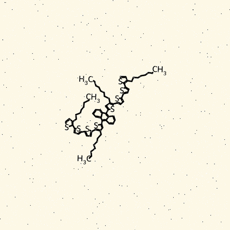 CCCCCCCCc1ccsc1-c1ccc(-c2ccc(-c3sc(-c4c5ccccc5c(-c5cc(CCCCCCCC)c(-c6ccc(-c7ccc(-c8sccc8CCCCCCCC)s7)s6)s5)c5ccccc45)cc3CCCCCCCC)s2)s1